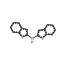 [P].c1ccc2sc(Oc3cc4ccccc4s3)cc2c1